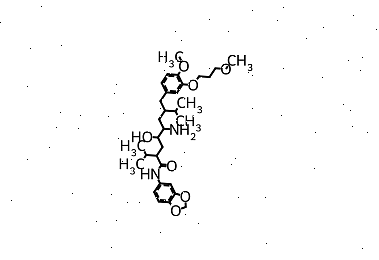 COCCCOc1cc(CC(CC(N)C(O)CC(C(=O)Nc2ccc3c(c2)OCO3)C(C)C)C(C)C)ccc1OC